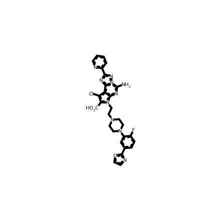 Nc1nc2c(c(Cl)c(C(=O)O)n2CCN2CCN(c3cc(-c4ncco4)ccc3F)CC2)c2nc(-c3ccccn3)nn12